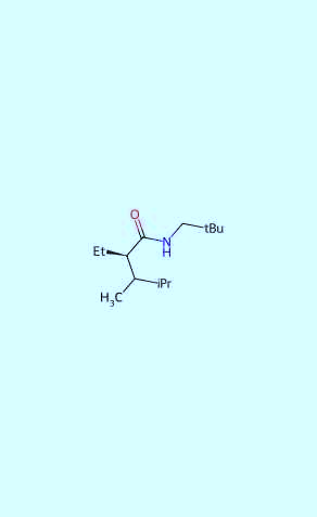 CC[C@@H](C(=O)NCC(C)(C)C)C(C)C(C)C